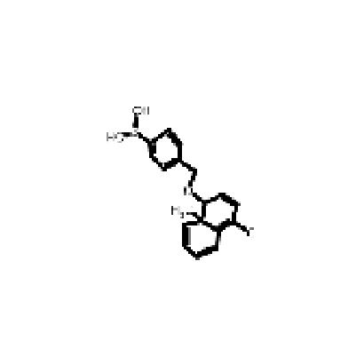 CC12C=CC=CC1=C(Cl)C=CC2OCc1ccc(B(O)O)cc1